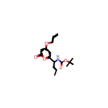 C=CCOc1cc(C(CCC)NC(=O)OC(C)(C)C)oc(=O)c1